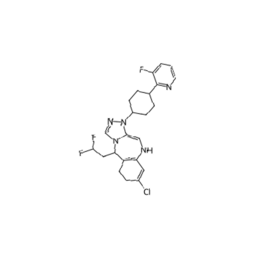 Fc1cccnc1C1CCC(N2N=CN3C2=CNC2=C(CCC(Cl)=C2)C3CC(F)F)CC1